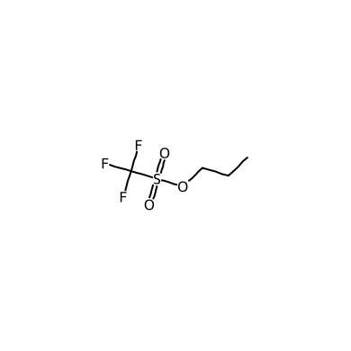 CCCOS(=O)(=O)C(F)(F)F